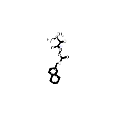 CN(C)C(=O)/C(Cl)=N/OC(=O)OCc1ccc2ccccc2c1